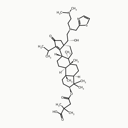 CC(C)C1=C2[C@H]3CC[C@@H]4[C@@]5(C)CC[C@H](OC(=O)CC(C)(C)C(=O)O)C(C)(C)[C@@H]5CC[C@@]4(C)[C@]3(C)CC[C@@]2([C@@H](O)CN(CCN(C)C)Cc2nccs2)CC1=O